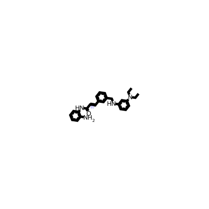 CCN(CC)c1cccc(NCc2cccc(/C=C/C(=O)Nc3ccccc3N)c2)c1